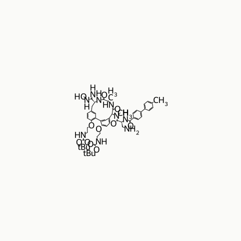 Cc1ccc(-c2ccc(C(=O)N[C@@H](CN)C(=O)N(C)[C@@H]3C(=O)N[C@@H](C)C(=O)N[C@H](C(=N)NO)Cc4ccc(OCCNC(=O)OC(C)(C)C)c(c4)-c4cc3ccc4OCCNC(=O)OC(C)(C)C)cc2)cc1